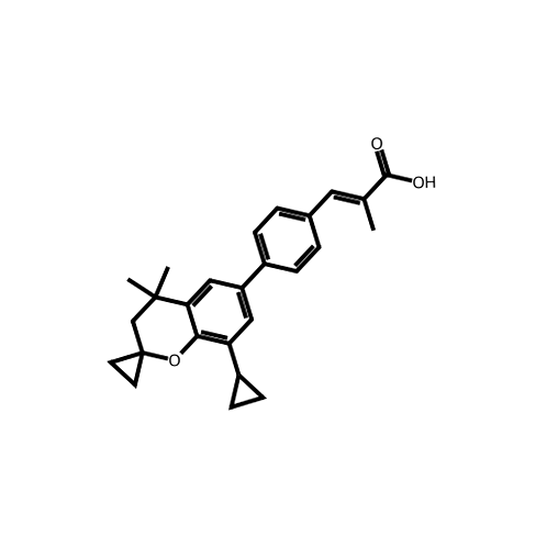 C/C(=C\c1ccc(-c2cc(C3CC3)c3c(c2)C(C)(C)CC2(CC2)O3)cc1)C(=O)O